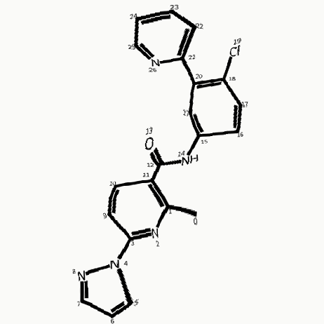 Cc1nc(-n2cccn2)ccc1C(=O)Nc1ccc(Cl)c(-c2ccccn2)c1